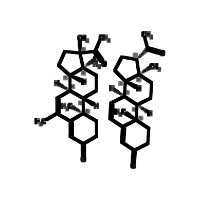 CC(=O)[C@@]1(C)CC[C@H]2[C@@H]3C=C(C)C4=CC(=O)CC[C@]4(C)[C@H]3CC[C@@]21C.CC(=O)[C@H]1CC[C@H]2[C@@H]3C=CC4=CC(=O)CC[C@@]4(C)[C@@H]3CC[C@]12C